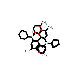 COc1c(C)cc(P(c2ccccc2)c2ccccc2)c(-c2c(P(C3CCCCC3)C3CCCCC3)cc(C)c(OC)c2C)c1C